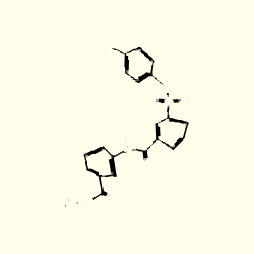 COC(=O)c1cccc(NC(=O)c2cccc(S(=O)(=O)Nc3ccc(Cl)cc3)c2)c1